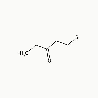 [CH2]CC(=O)CC[S]